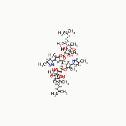 C=C(C)CCC[C@H](C)[C@H](O)[C@@H](C)C(=O)C(C)(C)[C@@H](O)CC(=O)O[C@@H]1C(C)=C(c2ccc(C)cn2)CC1C=C[C@@H]1CC(c2ccc(C)cn2)=C(C)[C@H]1OC(=O)C[C@H](O)C(C)(C)C(=O)[C@H](C)[C@@H](O)[C@@H](C)CCCC(=C)C